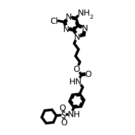 Nc1nc(Cl)nc2c1ncn2CCCCOC(=O)NCc1ccc(NS(=O)(=O)C2CCCCC2)cc1